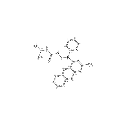 Cc1cc(N(COC(=O)NC(C)C)c2ccccc2)c2cc3ccccc3nc2c1